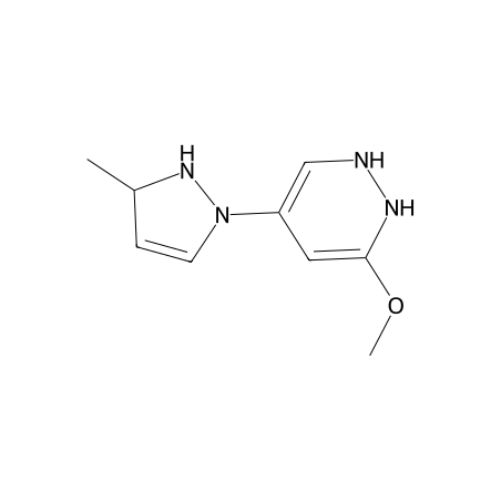 COC1=CC(N2C=CC(C)N2)=CNN1